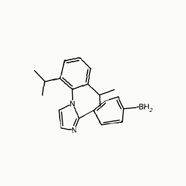 Bc1ccc(-c2nccn2-c2c(C(C)C)cccc2C(C)C)cc1